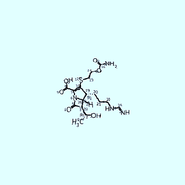 C[C@@H](O)[C@H]1C(=O)N2C(C(=O)O)=C(SCCOC(N)=O)[C@H](CCCNC=N)[C@H]12